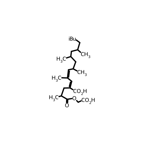 CCC(C)CC(C)CC(C)CC(C)C=C(C)C=C(CC(C)C(=O)OCC(=O)O)C(=O)O